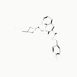 O=C(NCc1ccc(Cl)cc1)c1cc2cccnc2n(CC(=O)N2CC(CO)C2)c1=O